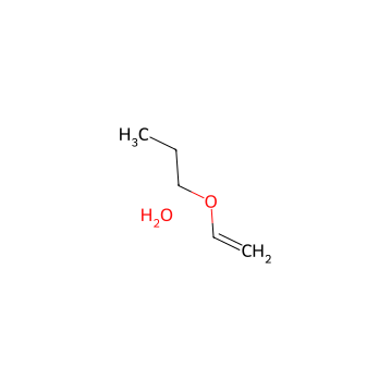 C=COCCC.O